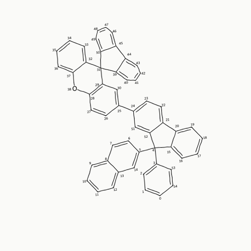 c1ccc(C2(c3ccc4ccccc4c3)c3ccccc3-c3ccc(-c4ccc5c(c4)C4(c6ccccc6O5)c5ccccc5-c5ccccc54)cc32)cc1